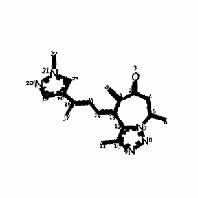 C=C1C(=O)CC(C)n2nnc(C)c2/C1=C/C=C(\C)c1cnn(C)c1